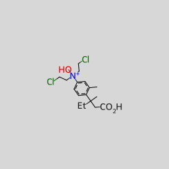 CCC(C)(CC(=O)O)c1ccc([N+](O)(CCCl)CCCl)cc1C